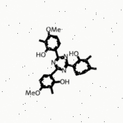 COc1ccc(-c2nc(-c3ccc(C)c(C)c3O)nc(-c3ccc(OC)c(C)c3O)n2)c(O)c1C